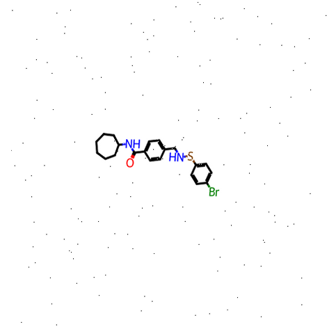 O=C(NC1CCCCCC1)c1ccc(CNSc2ccc(Br)cc2)cc1